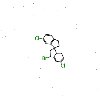 Clc1ccc([C@@]2(CCBr)CCc3ccc(Cl)cc32)cc1